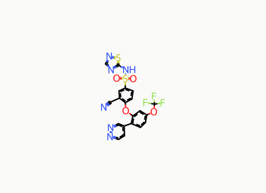 N#Cc1cc(S(=O)(=O)Nc2ncns2)ccc1Oc1cc(OC(F)(F)F)ccc1-c1ccnnc1